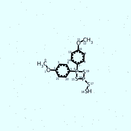 COc1ccc([P]2(c3ccc(OC)cc3)SP(SS)S2)cc1